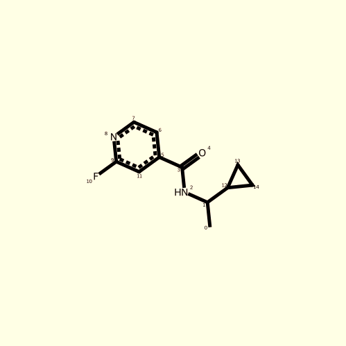 CC(NC(=O)c1ccnc(F)c1)C1CC1